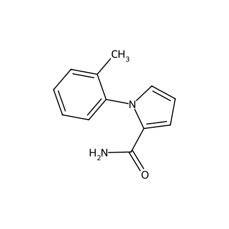 Cc1ccccc1-n1cccc1C(N)=O